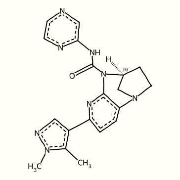 Cc1c(-c2ccc3c(n2)N(C(=O)Nc2cnccn2)[C@H]2CCN3C2)cnn1C